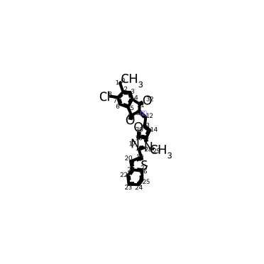 CCc1cc2c(cc1Cl)C(=O)/C(=C\c1cc3c(nc(-c4cc5ccccc5s4)n3C)o1)C2=O